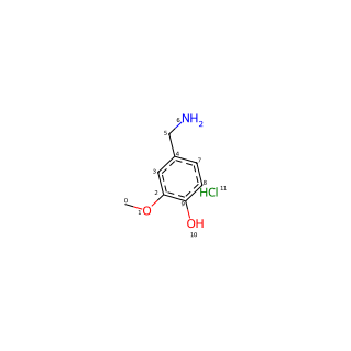 COc1cc(CN)ccc1O.Cl